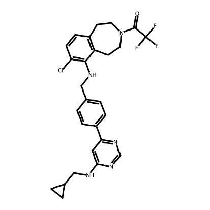 O=C(N1CCc2ccc(Cl)c(NCc3ccc(-c4cc(NCC5CC5)ncn4)cc3)c2CC1)C(F)(F)F